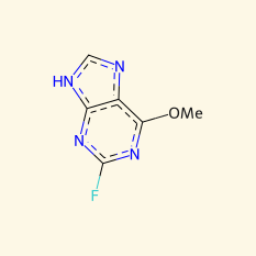 COc1nc(F)nc2[nH]cnc12